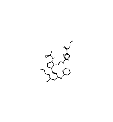 CCCC[C@H](C)C[C@@H](C=C[C@H]1CC[C@H](OC(C)=O)[C@@H]1CCSc1nc(C(=O)OCC)cs1)OC1CCCCO1